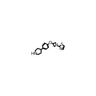 c1csc(N2CC(Oc3ccc(C4CCNCC4)cc3)C2)n1